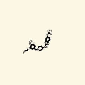 COc1ccc(CN2CCC(Nc3nc4ccc(OC(=O)O)cc4o3)CC2)cc1OCCF